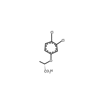 C[C@H](Oc1ccc(Cl)c(Cl)c1)C(=O)O